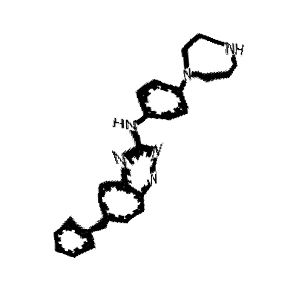 c1ccc(-c2ccc3nnc(Nc4ccc(N5CCNCC5)cc4)nc3c2)cc1